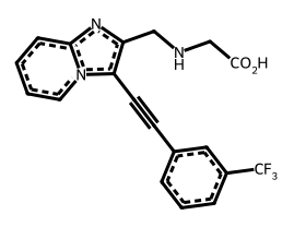 O=C(O)CNCc1nc2ccccn2c1C#Cc1cccc(C(F)(F)F)c1